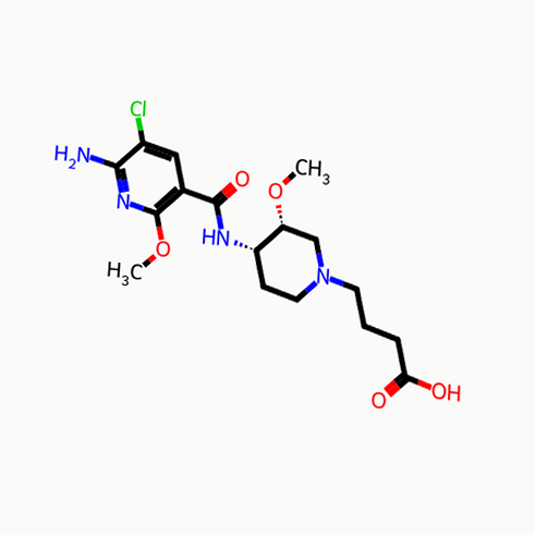 COc1nc(N)c(Cl)cc1C(=O)N[C@H]1CCN(CCCC(=O)O)C[C@H]1OC